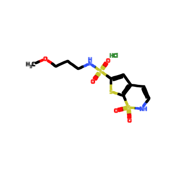 COCCCNS(=O)(=O)c1cc2c(s1)S(=O)(=O)NC=C2.Cl